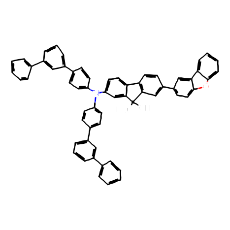 CC1(C)c2cc(-c3ccc4oc5ccccc5c4c3)ccc2-c2ccc(N(c3ccc(-c4cccc(-c5ccccc5)c4)cc3)c3ccc(-c4cccc(-c5ccccc5)c4)cc3)cc21